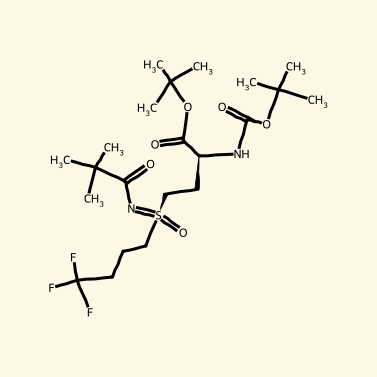 CC(C)(C)OC(=O)N[C@@H](CC[S@@](=O)(CCCC(F)(F)F)=NC(=O)C(C)(C)C)C(=O)OC(C)(C)C